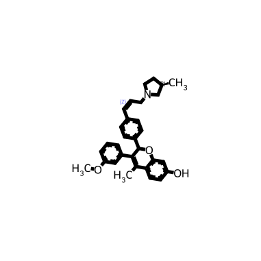 COc1cccc(C2=C(C)c3ccc(O)cc3OC2c2ccc(/C=C\CN3CC[C@@H](C)C3)cc2)c1